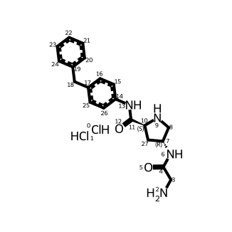 Cl.Cl.NCC(=O)N[C@H]1CN[C@H](C(=O)Nc2ccc(Cc3ccccc3)cc2)C1